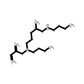 C=CC(=C)CN(CCCC)CCCC(C)CNCCCC